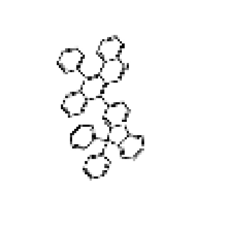 c1ccc(-c2c3ccccc3c(-c3ccc4c(c3)C(c3ccccc3)(c3ccccc3)c3ccccc3-4)c3cnc4ccccc4c23)cc1